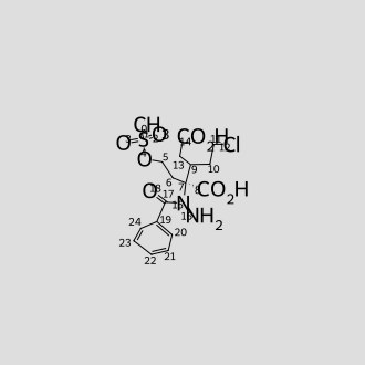 CS(=O)(=O)OCC[C@@](C(=O)O)(C(CCCl)CC(=O)O)N(N)C(=O)c1ccccc1